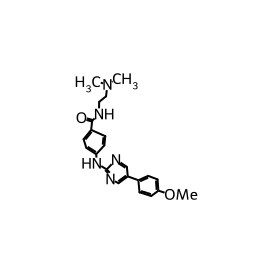 COc1ccc(-c2cnc(Nc3ccc(C(=O)NCCN(C)C)cc3)nc2)cc1